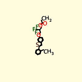 C=CC(=O)OCC(COc1ccc2cc(-c3ccccc3CC)sc2c1)C(F)(F)F